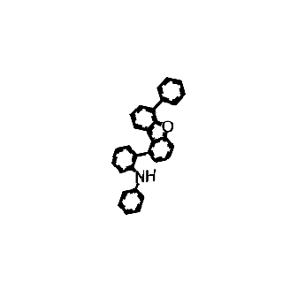 c1ccc(Nc2ccccc2-c2cccc3oc4c(-c5ccccc5)cccc4c23)cc1